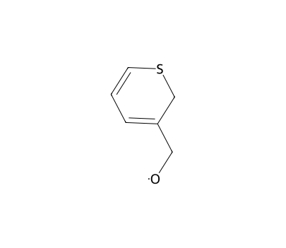 [O]CC1=CC=CSC1